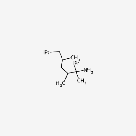 CC(C)CC(C)CC(C)C(C)(N)C(C)C